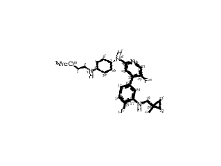 COCCN[C@H]1CC[C@H](Nc2cc(-c3ccc(F)c(NCC4(C)CC4)c3)c(F)cn2)CC1